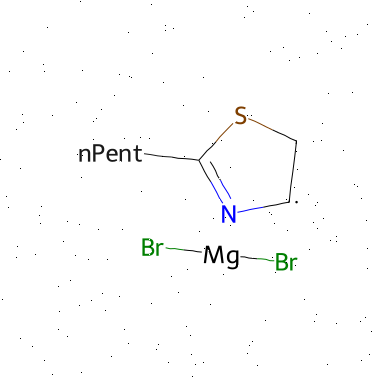 CCCCCC1=N[CH]CS1.[Br][Mg][Br]